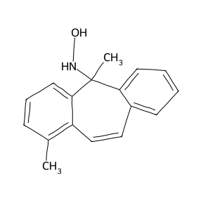 Cc1cccc2c1C=Cc1ccccc1C2(C)NO